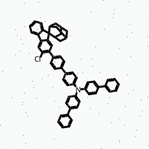 Clc1cc2c(cc1-c1ccc(-c3ccc(N(c4ccc(-c5ccccc5)cc4)c4ccc(-c5ccccc5)cc4)cc3)cc1)C1(c3ccccc3-2)C2CC3CC(C2)CC1C3